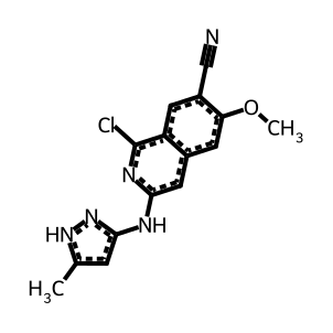 COc1cc2cc(Nc3cc(C)[nH]n3)nc(Cl)c2cc1C#N